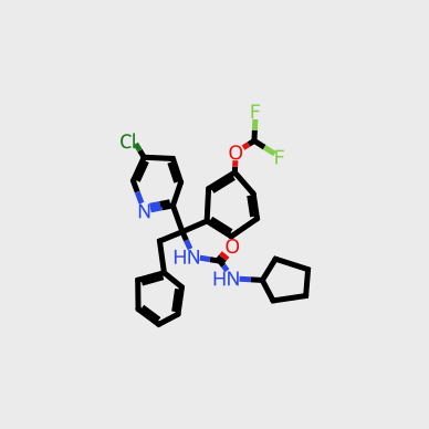 O=C(NC1CCCC1)NC(Cc1ccccc1)(c1cccc(OC(F)F)c1)c1ccc(Cl)cn1